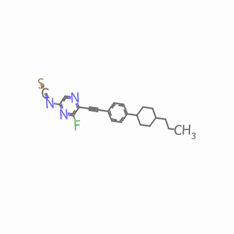 CCCC1CCC(c2ccc(C#Cc3ncc(N=C=S)nc3F)cc2)CC1